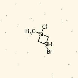 C[Si]1(Cl)C[SiH](Br)C1